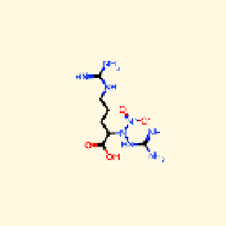 N=C(N)NCCCC(C(=O)O)N(NC(=N)N)[N+](=O)[O-]